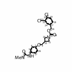 CNC(=O)Nc1ccc(OCC2CN(C(=O)OCc3ccc(Cl)c(Cl)c3)C2)cc1